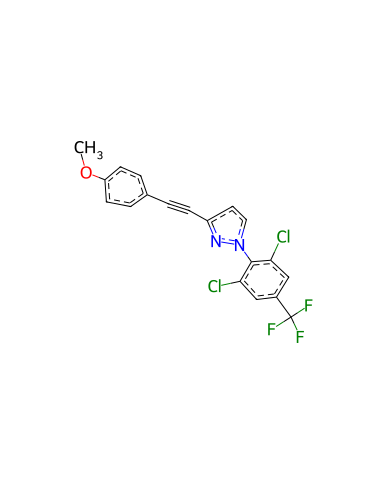 COc1ccc(C#Cc2ccn(-c3c(Cl)cc(C(F)(F)F)cc3Cl)n2)cc1